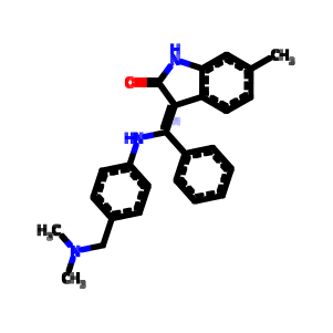 Cc1ccc2c(c1)NC(=O)/C2=C(\Nc1ccc(CN(C)C)cc1)c1ccccc1